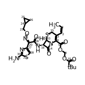 C/C=C\C1=C(C(=O)OCOC(=O)C(C)(C)C)N2C(=O)[C@@H](NC(=O)/C(=N\OCC3CC3)c3csc(N)n3)[C@H]2SC1